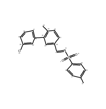 Cc1ccc(S(=O)(=O)/N=C/c2ccc(C)c(-c3cccc(Cl)c3)c2)cc1